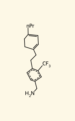 CCCC1=CC=C(CCc2ccc(CN)cc2C(F)(F)F)CC1